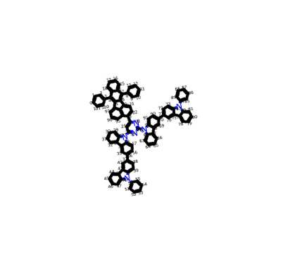 c1ccc(-c2c3c(c(-c4ccccc4)c4ccccc24)-c2ccc(-c4cc(-n5c6ccccc6c6cc(-c7ccc8c(c7)c7ccccc7n8-c7ccccc7)ccc65)nc(-n5c6ccccc6c6cc(-c7ccc8c(c7)c7ccccc7n8-c7ccccc7)ccc65)n4)c4cccc-3c24)cc1